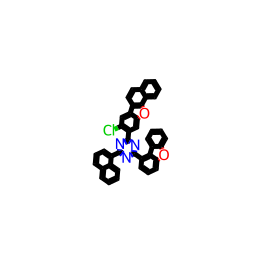 Clc1cc2c(cc1-c1nc(-c3cccc4ccccc34)nc(-c3cccc4oc5ccccc5c34)n1)oc1c3ccccc3ccc21